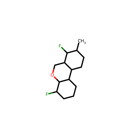 CC1CCC2C(COC3C(F)CCCC23)C1F